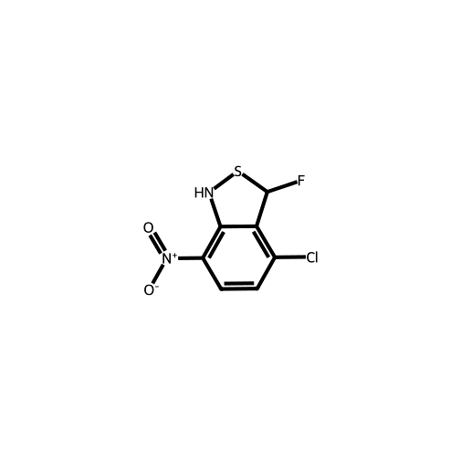 O=[N+]([O-])c1ccc(Cl)c2c1NSC2F